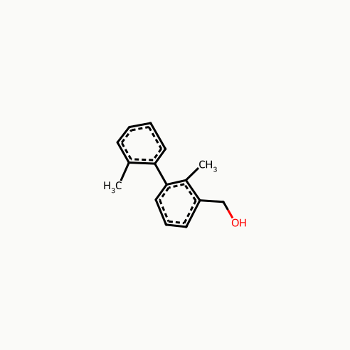 Cc1ccccc1-c1cccc(CO)c1C